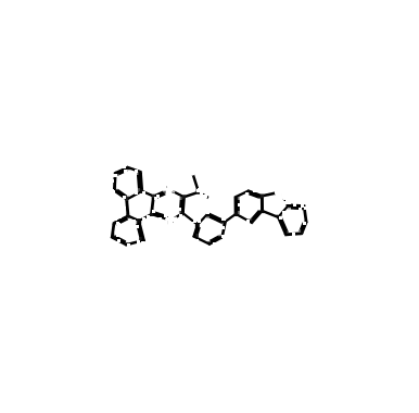 CC(C)c1nc2c3ccccc3c3ccccc3c2nc1-c1cccc(-c2ccc3sc4ccccc4c3c2)c1